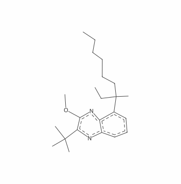 CCCCCCC(C)(CC)c1cccc2nc(C(C)(C)C)c(OC)nc12